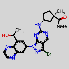 CNC(=O)[C@]1(C)CC[C@@H](Nc2ncc3c(Br)nn(-c4cc(C(C)O)c5nccnc5c4)c3n2)C1